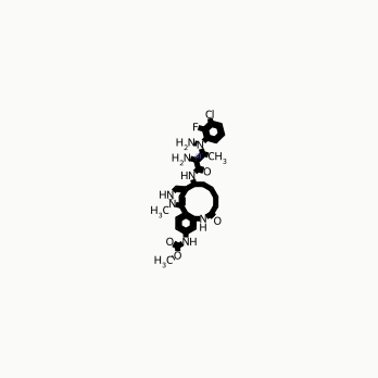 COC(=O)Nc1ccc2c(c1)NC(=O)CCCCC(NC(=O)/C(N)=C(\C)N(N)c1cccc(Cl)c1F)C1=CNN(C)C2=C1